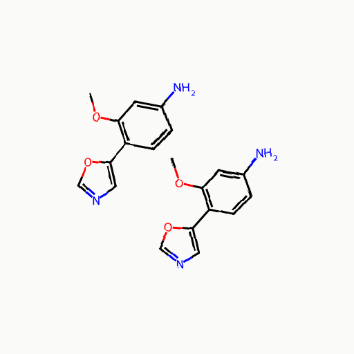 COc1cc(N)ccc1-c1cnco1.COc1cc(N)ccc1-c1cnco1